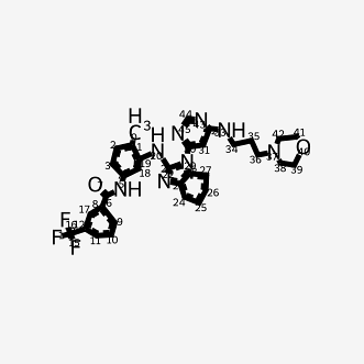 Cc1ccc(NC(=O)c2cccc(C(F)(F)F)c2)cc1Nc1nc2ccccc2n1-c1cc(NCCCN2CCOCC2)ncn1